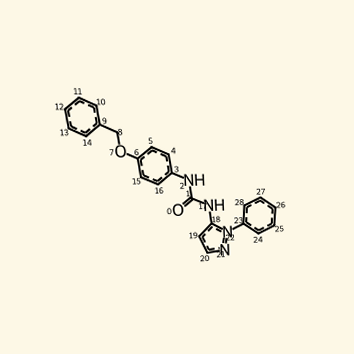 O=C(Nc1ccc(OCc2ccccc2)cc1)Nc1ccnn1-c1ccccc1